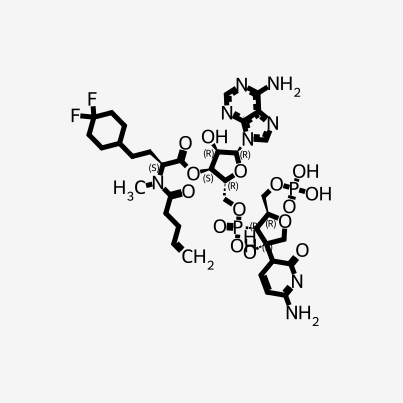 C=CCCC(=O)N(C)[C@@H](CCC1CCC(F)(F)CC1)C(=O)O[C@H]1[C@@H](O)[C@H](n2cnc3c(N)ncnc32)O[C@@H]1COP(=O)(O)[C@@H]1[C@@H](COP(=O)(O)O)OC[C@@]1(O)C1C=CC(N)=NC1=O